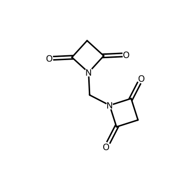 O=C1CC(=O)N1CN1C(=O)CC1=O